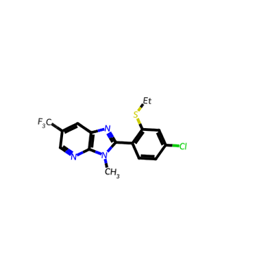 CCSc1cc(Cl)ccc1-c1nc2cc(C(F)(F)F)cnc2n1C